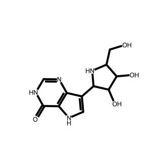 O=c1[nH]cnc2c(C3NC(CO)C(O)C3O)c[nH]c12